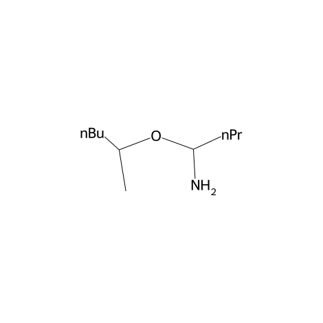 CCCCC(C)OC(N)CCC